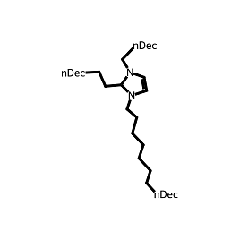 CCCCCCCCCCCCCCCCCN1C=CN(CCCCCCCCCCC)C1CCCCCCCCCCCC